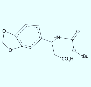 CC(C)(C)OC(=O)NC(CC(=O)O)c1ccc2c(c1)OCO2